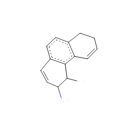 CC1c2c(ccc3c2C=CCC3)C=CC1N